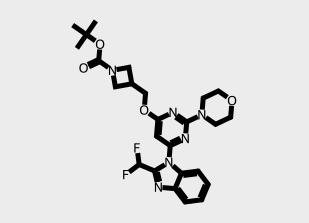 CC(C)(C)OC(=O)N1CC(COc2cc(-n3c(C(F)F)nc4ccccc43)nc(N3CCOCC3)n2)C1